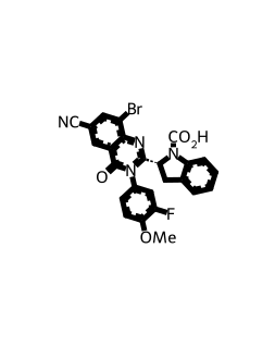 COc1ccc(-n2c([C@H]3Cc4ccccc4N3C(=O)O)nc3c(Br)cc(C#N)cc3c2=O)cc1F